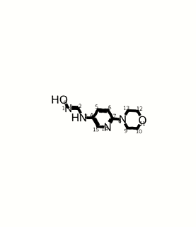 O/N=C/Nc1ccc(N2CCOCC2)nc1